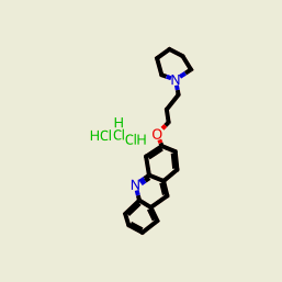 Cl.Cl.Cl.c1ccc2nc3cc(OCCCN4CCCCC4)ccc3cc2c1